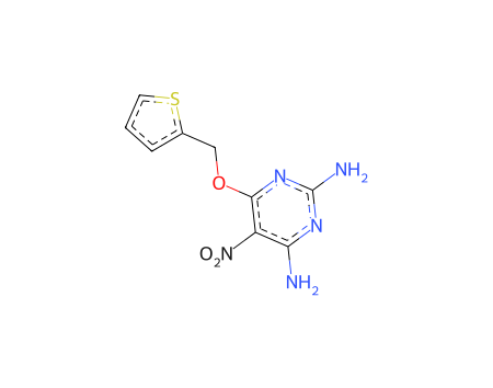 Nc1nc(N)c([N+](=O)[O-])c(OCc2cccs2)n1